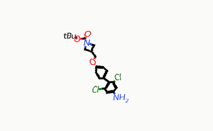 CC(C)(C)OC(=O)N1CC(COc2ccc(-c3c(Cl)cc(N)cc3Cl)cc2)C1